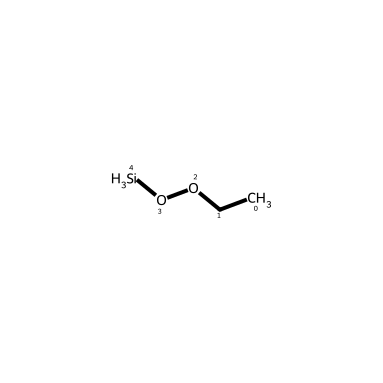 CCOO[SiH3]